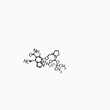 C#Cc1c(C(N)=O)cc(OC[C@H]2CCCN2C(=O)OC(C)(C)C)c2[nH]ccc12